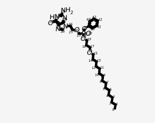 CCCCCCCCCCCCCCCCOCCCOP(=O)(COCCn1cnc2c(=O)[nH]c(N)nc21)Oc1ccccc1